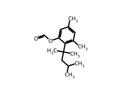 Cc1cc(C)c(C(C)(C)CC(C)C)c(OC=O)c1